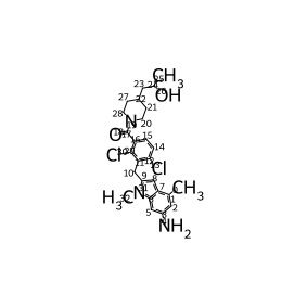 Cc1cc(N)cc2c1cc(Cc1c(Cl)ccc(C(=O)N3CCC(CC(C)O)CC3)c1Cl)n2C